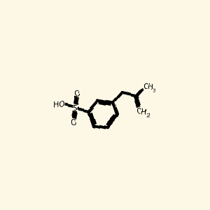 C=C(C)Cc1cccc(S(=O)(=O)O)c1